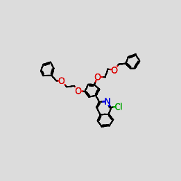 Clc1nc(-c2cc(OCCOCc3ccccc3)cc(OCCOCc3ccccc3)c2)cc2ccccc12